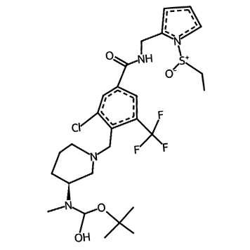 CC[S+]([O-])n1cccc1CNC(=O)c1cc(Cl)c(CN2CCC[C@H](N(C)C(O)OC(C)(C)C)C2)c(C(F)(F)F)c1